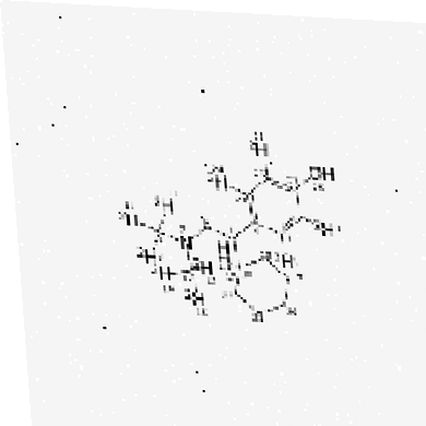 [2H]c1c([2H])c(C(CN(C([2H])([2H])[2H])C([2H])([2H])[2H])C2(O)CCCCC2)c([2H])c([2H])c1O